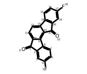 O=c1c2cc(F)ccc2c2c1ccc1c3ccc(F)cc3c(=O)c12